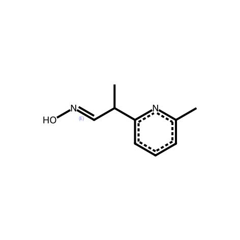 Cc1cccc(C(C)/C=N/O)n1